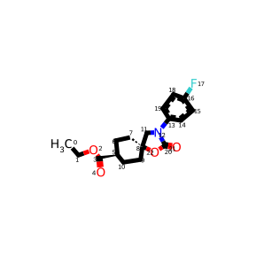 CCOC(=O)[C@H]1CC[C@]2(CC1)CN(c1ccc(F)cc1)C(=O)O2